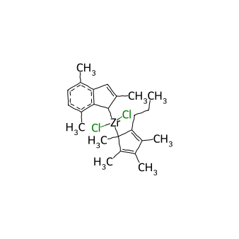 CCCC1=C(C)C(C)=C(C)[C]1(C)[Zr]([Cl])([Cl])[CH]1C(C)=Cc2c(C)ccc(C)c21